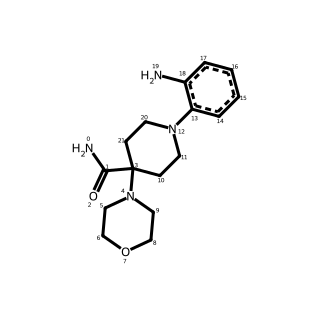 NC(=O)C1(N2CCOCC2)CCN(c2ccccc2N)CC1